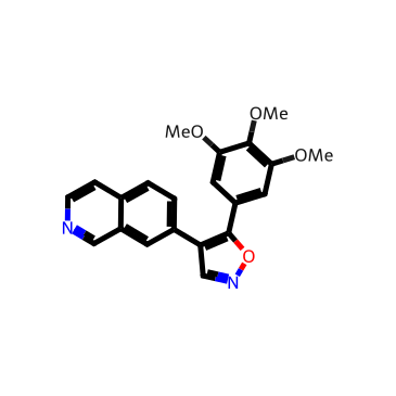 COc1cc(-c2oncc2-c2ccc3ccncc3c2)cc(OC)c1OC